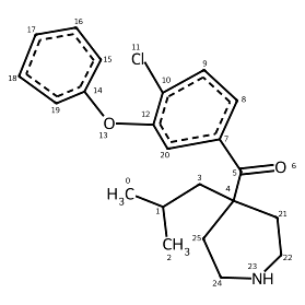 CC(C)CC1(C(=O)c2ccc(Cl)c(Oc3ccccc3)c2)CCNCC1